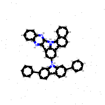 c1ccc(-c2ccc3c4ccc(-c5ccccc5)cc4n(-c4cc5c6ccc7ccccc7c6n6c7nc8ccccc8nc7c(c4)c56)c3c2)cc1